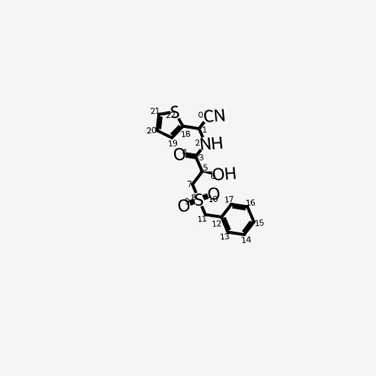 N#CC(NC(=O)[C@@H](O)CS(=O)(=O)Cc1ccccc1)c1cccs1